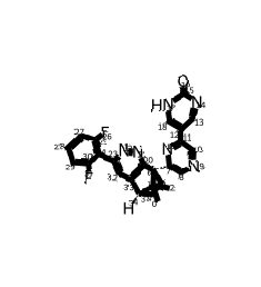 CC1(C)[C@H]2CC[C@]1(c1cncc(-c3cnc(=O)[nH]c3)n1)c1nnc(-c3c(F)cccc3F)cc12